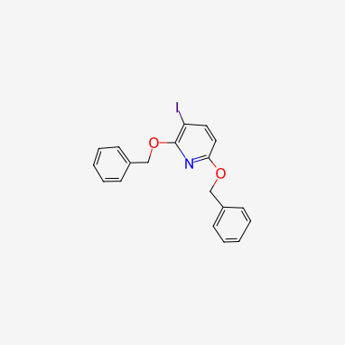 Ic1ccc(OCc2ccccc2)nc1OCc1ccccc1